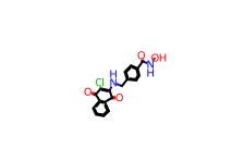 O=C(NO)c1ccc(CNC2=C(Cl)C(=O)c3ccccc3C2=O)cc1